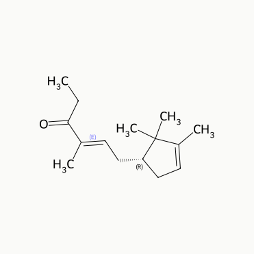 CCC(=O)/C(C)=C/C[C@H]1CC=C(C)C1(C)C